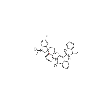 CC[C@H](NC(=O)c1c(CN2CCC3(CC2)CN(C(C)=O)c2ccc(F)cc23)n(-c2ccccc2)c(=O)c2ccccc12)c1ccccc1